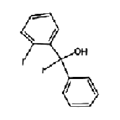 OC(I)(c1ccccc1)c1ccccc1I